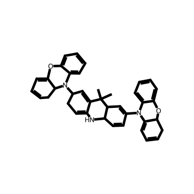 CC1(C)C2=CC(N3c4ccccc4OC4=CC=CCC43)CC=C2NC2C=CC(N3C4=CC=CCC4Oc4ccccc43)=CC21